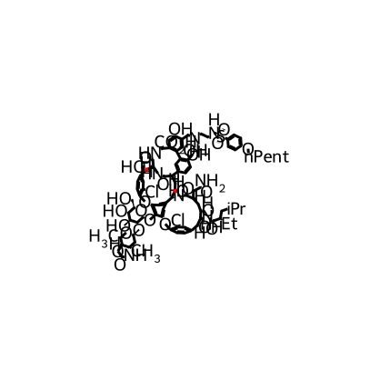 CCCCCOc1ccc(S(=O)(=O)NCCNCc2c(O)cc3c(c2O)-c2cc(ccc2O)[C@H]2CC(=O)[C@@H]4NC(=O)[C@H](CC(N)=O)CC(=O)[C@H](NC(=O)[C@H](CC)CC(C)C)[C@H](O)c5ccc(c(Cl)c5)Oc5cc4cc(c5O[C@@H]4O[C@H](CO)[C@@H](O)[C@H](O)[C@H]4O[C@H]4C[C@]5(C)NC(=O)O[C@@H]5[C@H](C)O4)Oc4ccc(cc4Cl)[C@@H](O)[C@H](NC2=O)C(=O)N[C@@H]3C(=O)O)cc1